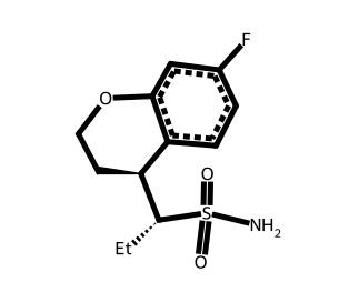 CC[C@H]([C@H]1CCOc2cc(F)ccc21)S(N)(=O)=O